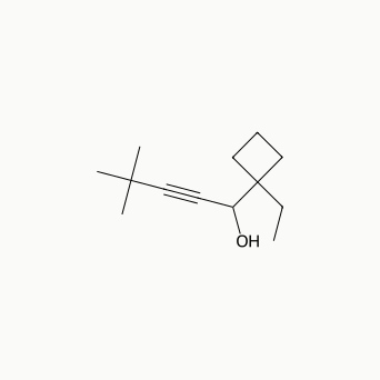 CCC1(C(O)C#CC(C)(C)C)CCC1